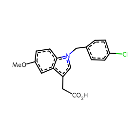 COc1ccc2c(c1)c(CC(=O)O)cn2Cc1ccc(Cl)cc1